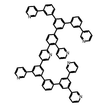 c1cncc(-c2cccc(-c3cc(-c4cccc(-c5cccnc5)c4)cc(-c4ccc(-c5ccc(-c6cc(-c7cccnc7)cc(-c7cccc(-c8cc(-c9cccnc9)cc(-c9cccnc9)c8)c7)c6)cn5)c(-c5cccnc5)c4)c3)c2)c1